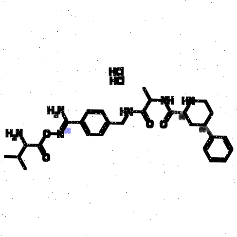 CC(NC(=O)[C@H]1C[C@@H](c2ccccc2)CCN1)C(=O)NCc1ccc(/C(N)=N/OC(=O)C(N)C(C)C)cc1.Cl.Cl